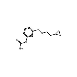 CC(C)(C)C(=O)Nc1cccc(COCCC2CC2)n1